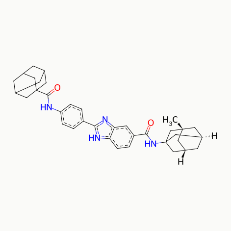 C[C@@]12C[C@@H]3C[C@@H](CC(NC(=O)c4ccc5[nH]c(-c6ccc(NC(=O)C78CC9CC(CC(C9)C7)C8)cc6)nc5c4)(C3)C1)C2